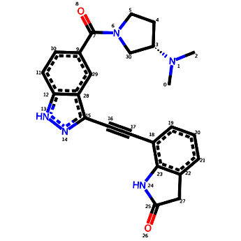 CN(C)[C@H]1CCN(C(=O)c2ccc3[nH]nc(C#Cc4cccc5c4NC(=O)C5)c3c2)C1